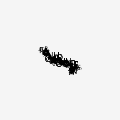 Cc1cc(NC(=O)c2c(C)c(C(=O)C(=O)NC3(C)CCN(C(=O)c4cn(C)nc4C(F)F)CC3)n(C)c2C)ccc1F